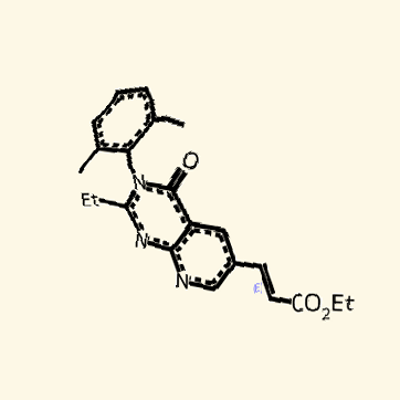 CCOC(=O)/C=C/c1cnc2nc(CC)n(-c3c(C)cccc3C)c(=O)c2c1